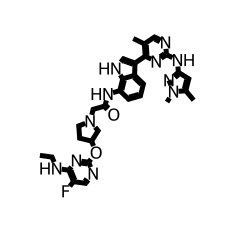 CCNc1nc(OC2CCN(CC(=O)Nc3cccc4c(-c5nc(Nc6cc(C)n(C)n6)ncc5C)c[nH]c34)C2)ncc1F